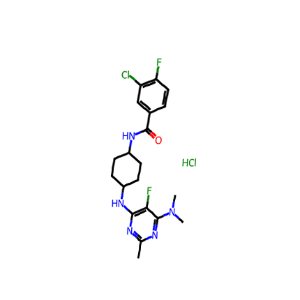 Cc1nc(NC2CCC(NC(=O)c3ccc(F)c(Cl)c3)CC2)c(F)c(N(C)C)n1.Cl